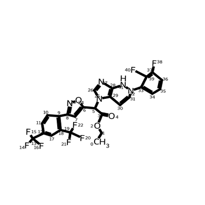 CCOC(=O)C(c1cc(-c2ccc(C(F)(F)F)cc2C(F)(F)F)no1)n1cnc2c1C=CN(c1cccc(F)c1F)N2